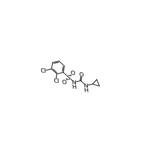 O=C(NC1CC1)NS(=O)(=O)c1cccc(Cl)c1Cl